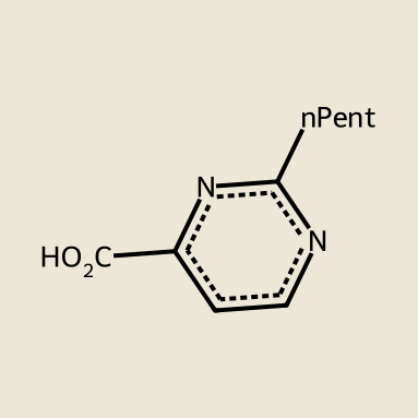 CCCCCc1nccc(C(=O)O)n1